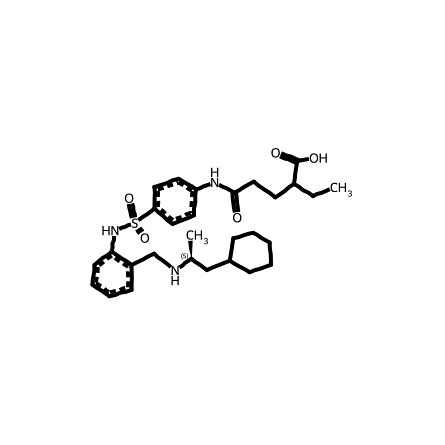 CCC(CCC(=O)Nc1ccc(S(=O)(=O)Nc2ccccc2CN[C@@H](C)CC2CCCCC2)cc1)C(=O)O